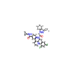 O=C(Cn1nc(C(F)(F)F)c2c1CCCC2)NC(Cc1cc(F)cc(F)c1)c1ncccc1-c1cccc(C(=O)NC2CC2)c1